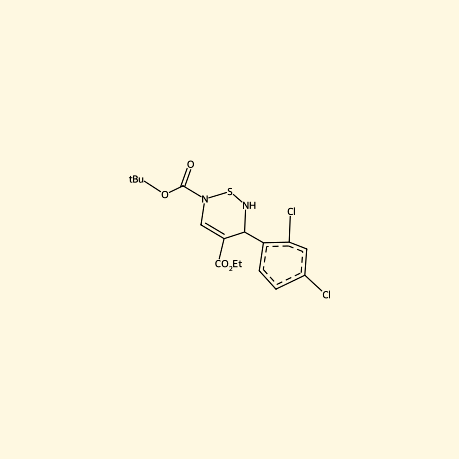 CCOC(=O)C1=CN(C(=O)OC(C)(C)C)SNC1c1ccc(Cl)cc1Cl